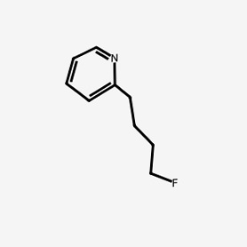 FCCCCc1ccccn1